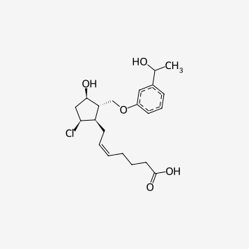 CC(O)c1cccc(OC[C@@H]2[C@@H](C/C=C\CCCC(=O)O)[C@@H](Cl)C[C@H]2O)c1